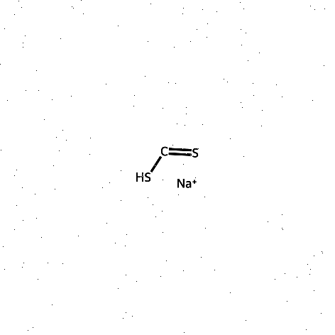 S=[C-]S.[Na+]